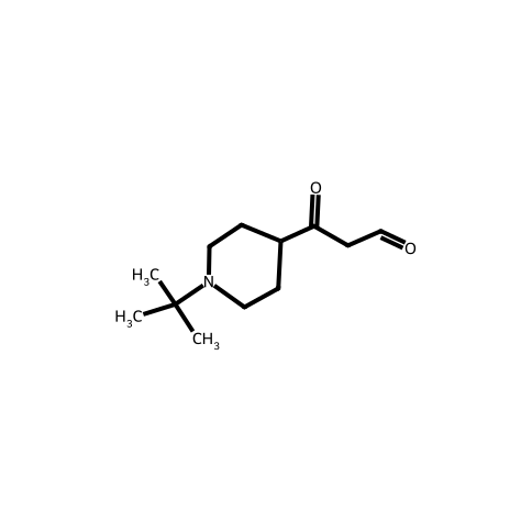 CC(C)(C)N1CCC(C(=O)CC=O)CC1